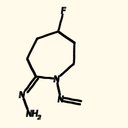 C=NN1CCC(F)CC/C1=N/N